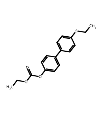 CCOC(=O)Oc1ccc(-c2ccc(SCC)cc2)cc1